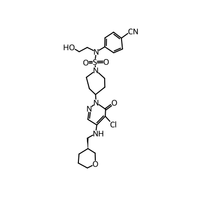 N#Cc1ccc(N(CCO)S(=O)(=O)N2CCC(n3ncc(NC[C@@H]4CCCOC4)c(Cl)c3=O)CC2)cc1